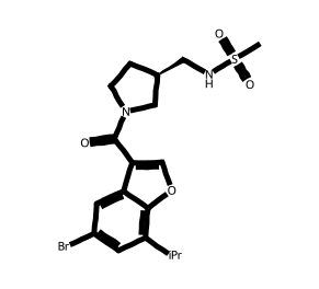 CC(C)c1cc(Br)cc2c(C(=O)N3CC[C@@H](CNS(C)(=O)=O)C3)coc12